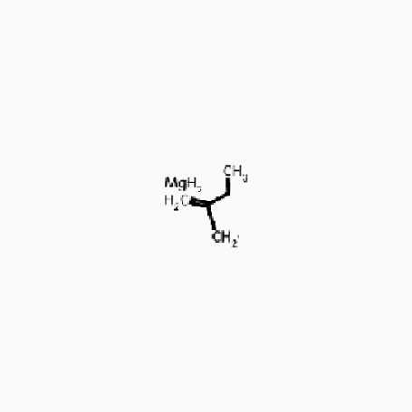 [CH2]C(=C)CC.[MgH2]